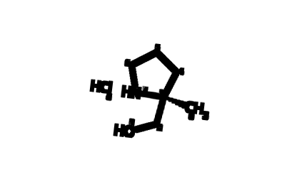 C[C@@]1(CO)CCCN1.Cl